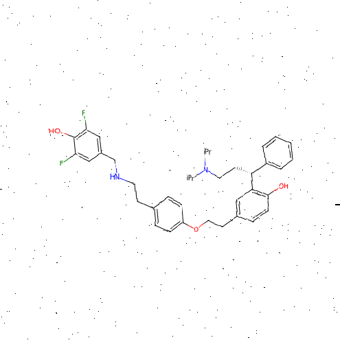 CC(C)N(CC[C@H](c1ccccc1)c1cc(CCOc2ccc(CCNCc3cc(F)c(O)c(F)c3)cc2)ccc1O)C(C)C